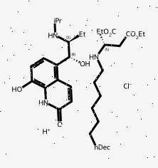 CCCCCCCCCCCCCCCCN[C@@H](CC(=O)OCC)C(=O)OCC.CC[C@H](NC(C)C)[C@H](O)c1ccc(O)c2[nH]c(=O)ccc12.[Cl-].[H+]